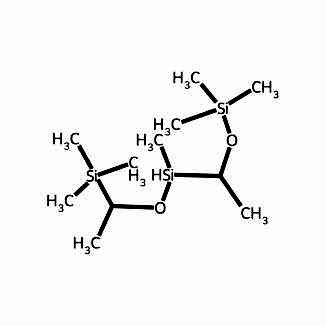 CC(O[Si](C)(C)C)[SiH](C)OC(C)[Si](C)(C)C